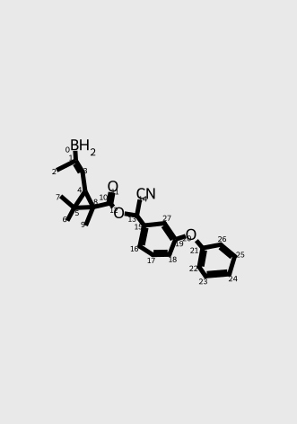 B/C(C)=C/C1C(C)(C)C1(C)C(=O)OC(C#N)c1cccc(Oc2ccccc2)c1